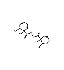 O=C(OOC(=O)C1(Cl)C=CC=CC1Cl)C1(Cl)C=CC=CC1Cl